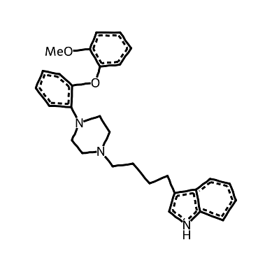 COc1ccccc1Oc1ccccc1N1CCN(CCCCc2c[nH]c3ccccc23)CC1